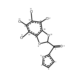 O=C(c1ccco1)C1Oc2c(Cl)c(Cl)c(Cl)c(Cl)c2O1